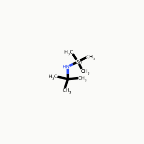 CC(C)(C)[NH][Sn]([CH3])([CH3])[CH3]